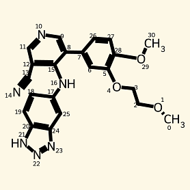 COCCOc1cc(-c2cncc(C#N)c2Nc2ccc3[nH]nnc3c2)ccc1OC